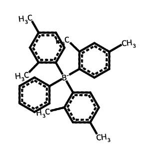 Cc1ccc([B-](c2ccccc2)(c2ccc(C)cc2C)c2ccc(C)cc2C)c(C)c1